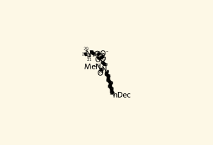 CCCCCCCCCCCCCCCCCCN(CCOP(=O)([O-])OCC[N+](C)(C)C)C(=O)NC